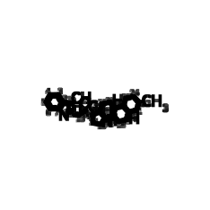 Cc1c2ccccc2nn1CC(=O)[C@H]1CC[C@H]2[C@@H]3CC[C@H]4C[C@@H](C)CC[C@@H]4[C@H]3CC[C@]12C